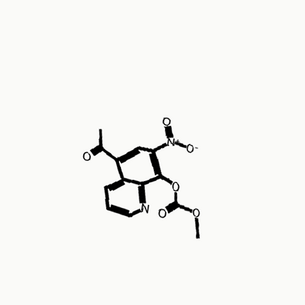 COC(=O)Oc1c([N+](=O)[O-])cc(C(C)=O)c2cccnc12